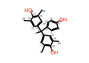 Cc1cc(C(C)(c2ccc(O)cc2)c2cc(C)c(O)c(C)c2)cc(C)c1O